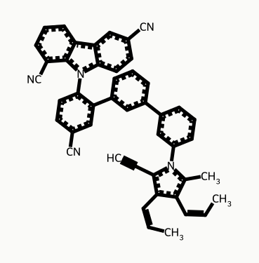 C#Cc1c(/C=C\C)c(/C=C\C)c(C)n1-c1cccc(-c2cccc(-c3cc(C#N)ccc3-n3c4ccc(C#N)cc4c4cccc(C#N)c43)c2)c1